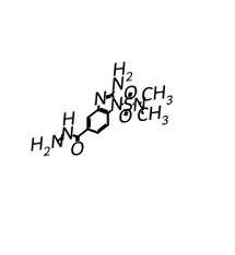 CN(C)S(=O)(=O)n1c(N)nc2cc(C(=O)NN)ccc21